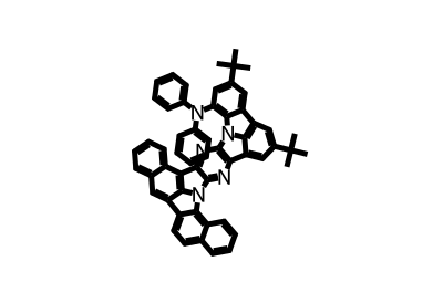 CC(C)(C)c1cc(N(c2ccccc2)c2ccccc2)c2c(c1)c1cc(C(C)(C)C)cc3c4nc5c(nc4n2c13)c1c2ccccc2cc2c3ccc4ccccc4c3n5c21